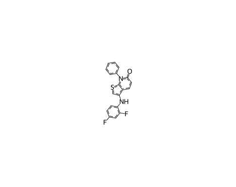 O=c1ccc2c(Nc3ccc(F)cc3F)csc2n1-c1ccccc1